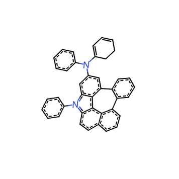 C1=CCCC(N(c2ccccc2)c2cc3c4c5c6c(cccc6ccc5n(-c5ccccc5)c4c2)-c2ccccc2-3)=C1